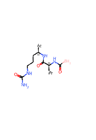 BC(=O)N[C@H](C(=O)N[C@@H](CCCNC(N)=O)C(C)=O)C(C)C